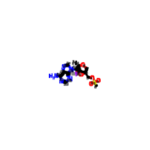 CS(=O)(=O)OC[C@]12CO[C@@H](C1I)[C@H](n1cnc3c(N)ncnc31)O2